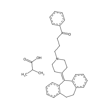 CC(C)C(=O)O.O=C(CCCN1CCC(=C2c3ccccc3CCc3ccccc32)CC1)c1ccccc1